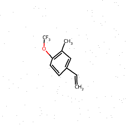 C=[C]c1ccc(OC(F)(F)F)c(C)c1